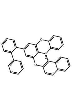 O=P12c3ccccc3Oc3cc(-c4ccccc4-c4ccccc4)cc(c31)Oc1ccc3ccccc3c12